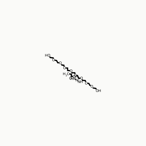 CCC(=O)O.N=[N+]=N.OCCOCCOCCOCCOCCOCCOCCOCCOCCO